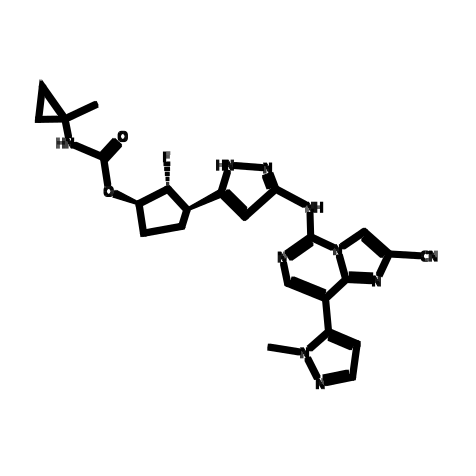 Cn1nccc1-c1cnc(Nc2cc([C@H]3CC[C@@H](OC(=O)NC4(C)CC4)[C@@H]3F)[nH]n2)n2cc(C#N)nc12